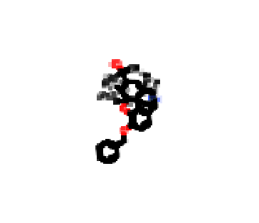 CO[C@]1(C)[C@@H](C(C)(O)C(C)(C)C)C[C@]2(C)[C@H]3Cc4ccc(OCc5ccccc5)c5c4C2(CCN3)[C@H]1O5